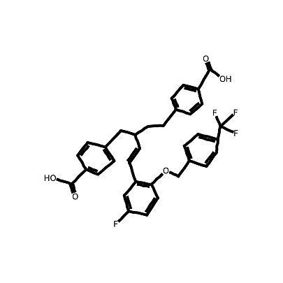 O=C(O)c1ccc(CCC(C=Cc2cc(F)ccc2OCc2ccc(C(F)(F)F)cc2)Cc2ccc(C(=O)O)cc2)cc1